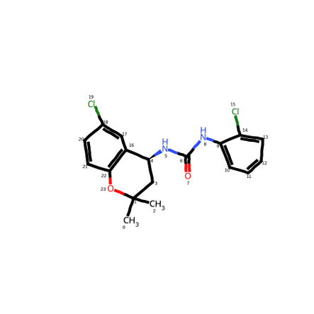 CC1(C)C[C@H](NC(=O)Nc2ccccc2Cl)c2cc(Cl)ccc2O1